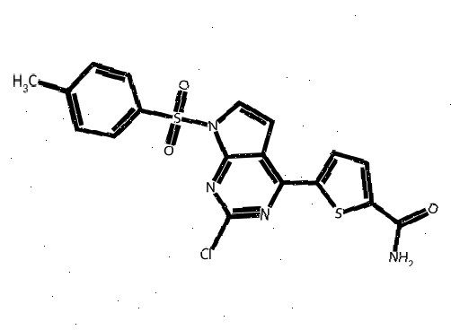 Cc1ccc(S(=O)(=O)n2ccc3c(-c4ccc(C(N)=O)s4)nc(Cl)nc32)cc1